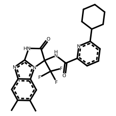 Cc1cc2nc3n(c2cc1C)C(NC(=O)c1cccc(C2CCCCC2)n1)(C(F)(F)F)C(=O)N3